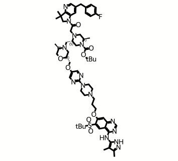 Cc1n[nH]c(Nc2ncnc3cc(OCCCN4CCN(c5ncc(OC[C@H]6CN(C[C@H]7CN(C(=O)OC(C)(C)C)[C@H](C)CN7CC(=O)N7CC(C)(C)c8ncc(Cc9ccc(F)cc9)cc87)[C@H](C)CO6)cn5)CC4)c(S(=O)(=O)C(C)(C)C)cc23)c1C